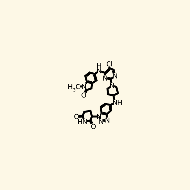 CN1C(=O)Cc2cc(Nc3nc(N4CCC(Nc5ccc6c(c5)nnn6C5CCC(=O)NC5=O)CC4)ncc3Cl)ccc21